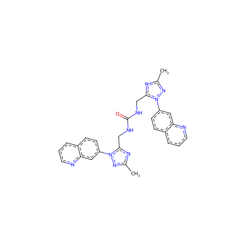 Cc1nc(CNC(=O)NCc2nc(C)nn2-c2ccc3cccnc3c2)n(-c2ccc3cccnc3c2)n1